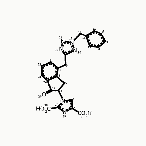 O=C(O)c1cn(C2Cc3c(Cc4nnn(Cc5ccccc5)n4)cccc3C2=O)c(C(=O)O)n1